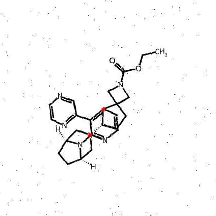 CCOC(=O)N1CC2(CC[C@H](N3C[C@H]4CC[C@@H](C3)N4c3ncccc3-c3cnccn3)C2)C1